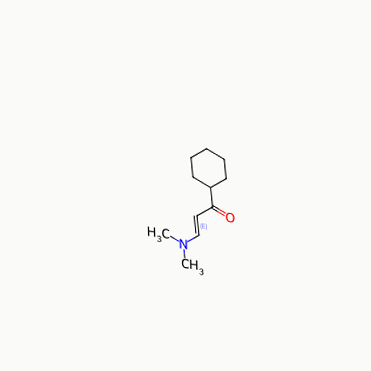 CN(C)/C=C/C(=O)C1CCCCC1